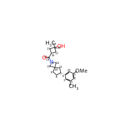 COc1cc(C)cc([C@@H]2CCC3(C2)CN(C(=O)C2CC(C)(O)C2)C3)c1